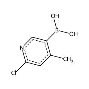 Cc1cc(Cl)ncc1B(O)O